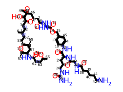 CC(/C=C/C1O[C@H](CC(=O)NNC(=O)OCc2ccc(NC(=O)C(CCCNC(N)=O)NC(=O)CNC(=O)CCCCCN)cc2)CC2(CO2)[C@@H]1O)=C\C[C@@H]1O[C@H](C)C(NC(=O)/C=C\C(C)O)C[C@@H]1C